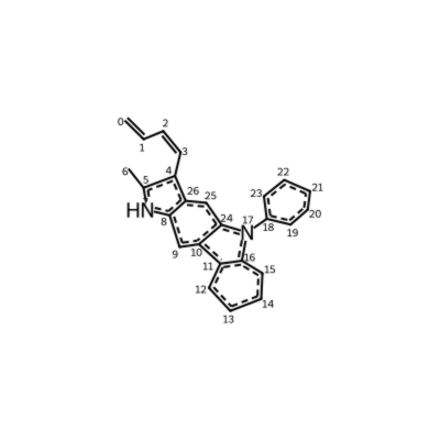 C=C/C=C\c1c(C)[nH]c2cc3c4ccccc4n(-c4ccccc4)c3cc12